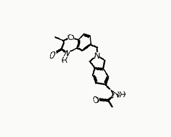 CC(=O)Nc1ccc2c(c1)CN(Cc1ccc3c(c1)NC(=O)C(C)O3)C2